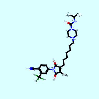 CC1=C(CCCCCCCN2CCN(C(=O)NC(C)C)CC2)C(=O)N(c2ccc(C#N)c(C(F)(F)F)c2)C1=O